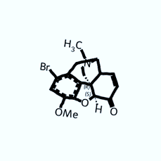 COc1cc(Br)c2c3c1O[C@@H]1C(=O)C=CC4C(C2)N(C)CC[C@]341